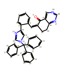 O=C1C(=Cc2ccccc2-c2cn(C(c3ccccc3)(c3ccccc3)c3ccccc3)cn2)CCc2ncncc21